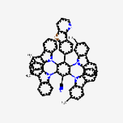 Cc1ccc2c3ccccc3n(-c3c(C#N)c(-n4c5ccccc5c5ccc(C)cc54)c(-n4c5ccccc5c5ccc(C)cc54)c(-c4ccc5c(c4)sc4cccnc45)c3-n3c4ccccc4c4ccc(C)cc43)c2c1